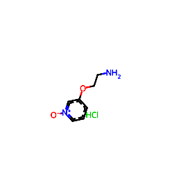 Cl.NCCOc1ccc[n+]([O-])c1